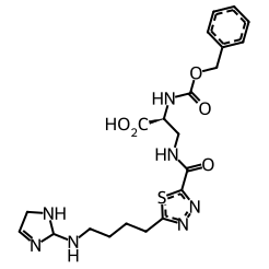 O=C(N[C@@H](CNC(=O)c1nnc(CCCCNC2N=CCN2)s1)C(=O)O)OCc1ccccc1